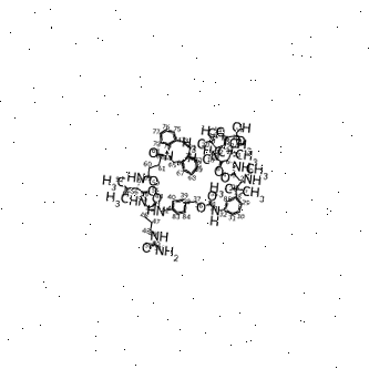 CNC(C(=O)N[C@H](C(=O)N(C)[C@H](/C=C(\C)C(=O)O)C(C)C)C(C)(C)C)C(C)(C)c1cccc(NC(=O)OCc2ccc(NC(=O)[C@H](CCCNC(N)=O)NC(=O)[C@@H](NC(=O)CCC(=O)N3Cc4ccccc4/C=C\c4ccccc43)C(C)C)cc2)c1